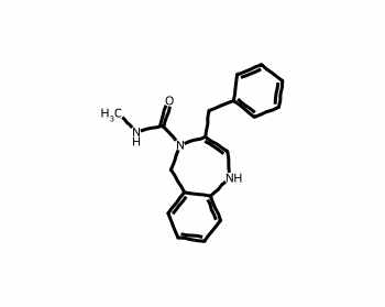 CNC(=O)N1Cc2ccccc2NC=C1Cc1ccccc1